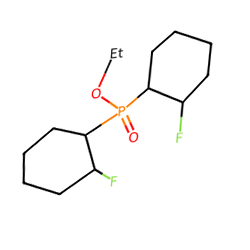 CCOP(=O)(C1CCCCC1F)C1CCCCC1F